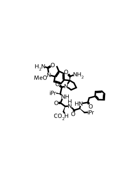 CON(C(N)=O)c1ccc([C@]2(C(N)=O)CCCN2C(=O)[C@@H](NC(=O)[C@H](CC(=O)O)NC(=O)[C@H](CC(C)C)NC(=O)Cc2ccccc2)C(C)C)cc1C